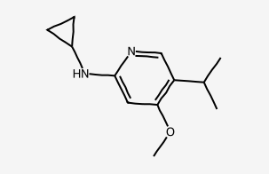 COc1cc(NC2CC2)ncc1C(C)C